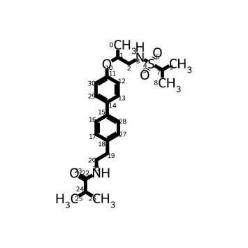 CC(CNS(=O)(=O)C(C)C)Oc1ccc(-c2ccc(CCNC(=O)C(C)C)cc2)cc1